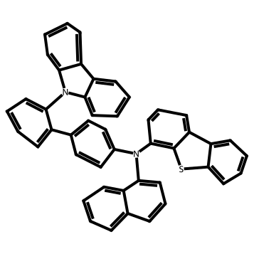 c1ccc(-n2c3ccccc3c3ccccc32)c(-c2ccc(N(c3cccc4ccccc34)c3cccc4c3sc3ccccc34)cc2)c1